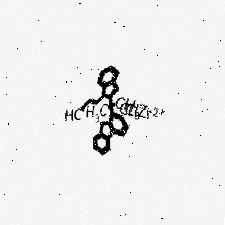 C#CCCC1C(C(C)(C)c2cccc3c2Cc2ccccc2-3)=Cc2ccccc21.[Cl-].[Cl-].[Zr+2]